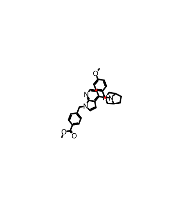 COC(=O)c1ccc(Cn2ccc3c(N4CC5CCC(C4)N5Cc4ccc(OC)cc4)ccnc32)cc1